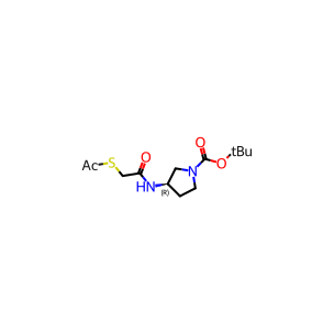 CC(=O)SCC(=O)N[C@@H]1CCN(C(=O)OC(C)(C)C)C1